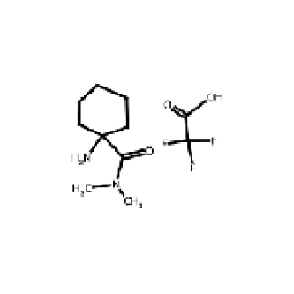 CN(C)C(=O)C1(N)CCCCC1.O=C(O)C(F)(F)F